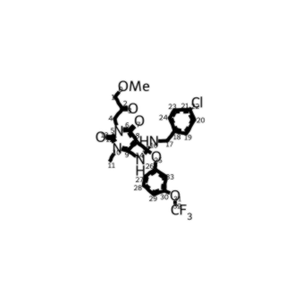 COCC(=O)Cn1c(=O)c2c(n(C)c1=O)N[C@@]2(NCc1ccc(Cl)cc1)Oc1cccc(OC(F)(F)F)c1